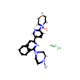 CCN1CCN(c2nc(-c3ccc([N+]4([O-])CCSCC4)nc3)cc3ccccc23)CC1.Cl.Cl.Cl